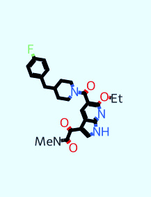 CCOc1nc2[nH]cc(C(=O)C(=O)NC)c2cc1C(=O)N1CCC(Cc2ccc(F)cc2)CC1